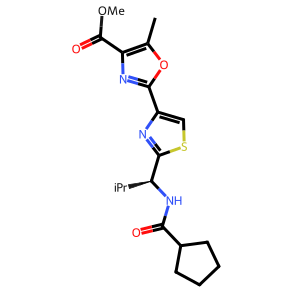 COC(=O)c1nc(-c2csc([C@@H](NC(=O)C3CCCC3)C(C)C)n2)oc1C